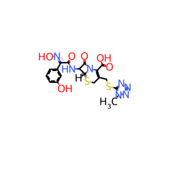 Cn1nnnc1SCC1=C(C(=O)O)N2C(=O)C(NC(=O)/C(=N/O)c3cccc(O)c3)[C@H]2SC1